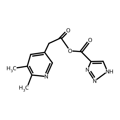 Cc1cc(CC(=O)OC(=O)c2c[nH]nn2)cnc1C